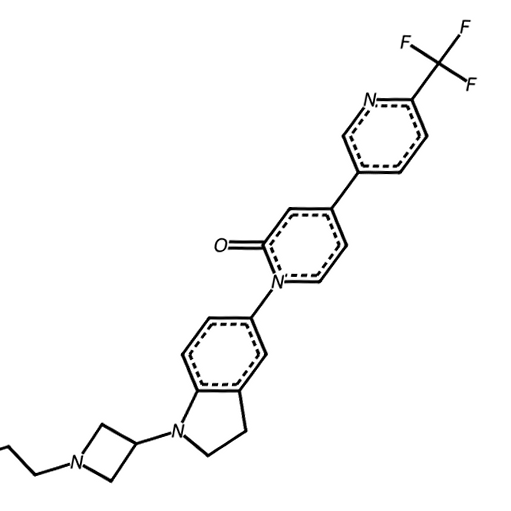 O=c1cc(-c2ccc(C(F)(F)F)nc2)ccn1-c1ccc2c(c1)CCN2C1CN(CCF)C1